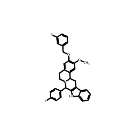 COc1cc2c(cc1OCc1cccc(F)c1)CCN1C2Cc2c([nH]c3ccccc23)C1c1ccc(F)cc1